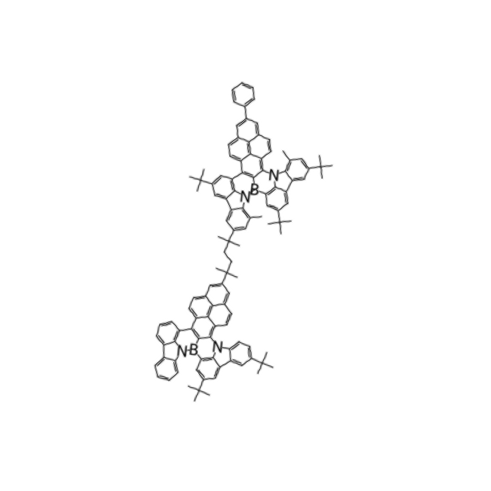 Cc1cc(C(C)(C)CCC(C)(C)c2cc3ccc4c5c6c(c7ccc(c2)c3c47)-n2c3ccc(C(C)(C)C)cc3c3cc(C(C)(C)C)cc(c32)B6n2c3ccccc3c3cccc-5c32)cc2c3cc(C(C)(C)C)cc4c3n(c12)B1c2c-4c3ccc4cc(-c5ccccc5)cc5ccc(c2-n2c6c(C)cc(C(C)(C)C)cc6c6cc(C(C)(C)C)cc1c62)c3c45